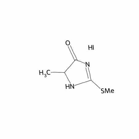 CSC1=NC(=O)C(C)N1.I